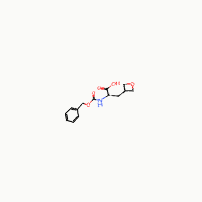 O=C(N[C@H](CC1COC1)C(=O)O)OCc1ccccc1